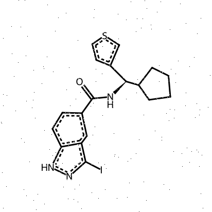 O=C(N[C@@H](c1ccsc1)C1CCCC1)c1ccc2[nH]nc(I)c2c1